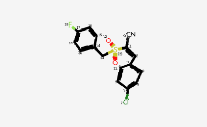 N#C/C(=C/c1ccc(Cl)cc1)S(=O)(=O)Cc1ccc(F)cc1